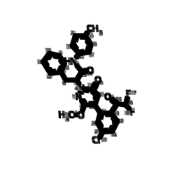 COc1nn(C(Cc2ccccc2)C(=O)Nc2ccc(C)cc2)c(=O)cc1-c1cc(Cl)ccc1C(=O)C(F)F